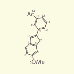 COc1ccc2c(c1)CC(c1cccc(C(C)=O)c1)=C2